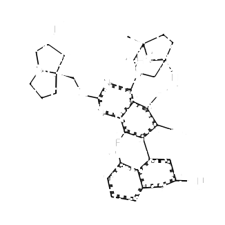 C[C@]12CC[C@H](CN(c3nc(OC[C@@]45CCCN4C[C@H](F)C5)nc4c(F)c(-c5cc(O)cc6cccc(Cl)c56)c(F)c(F)c34)C1)N2